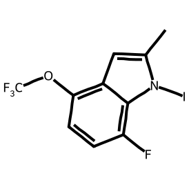 Cc1cc2c(OC(F)(F)F)ccc(F)c2n1I